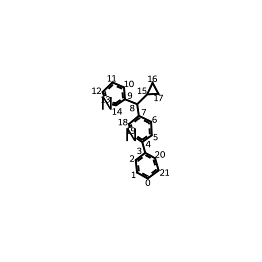 c1ccc(-c2ccc(C(c3cccnc3)C3CC3)cn2)cc1